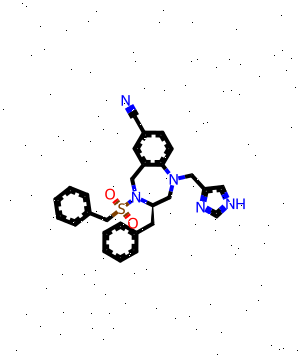 N#Cc1ccc2c(c1)CN(S(=O)(=O)Cc1ccccc1)[C@H](Cc1ccccc1)CN2Cc1c[nH]cn1